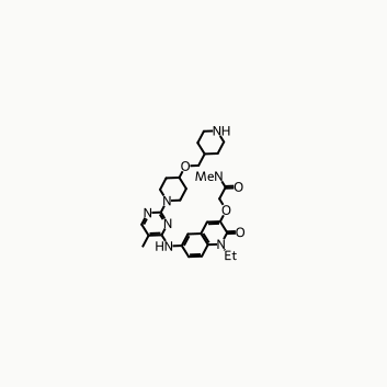 CCn1c(=O)c(OCC(=O)NC)cc2cc(Nc3nc(N4CCC(OCC5CCNCC5)CC4)ncc3C)ccc21